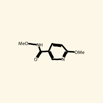 CONC(=O)c1ccc(OC)nc1